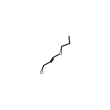 CCCOC=CCCl